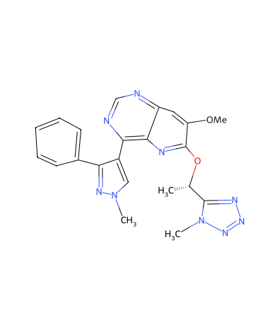 COc1cc2ncnc(-c3cn(C)nc3-c3ccccc3)c2nc1O[C@@H](C)c1nnnn1C